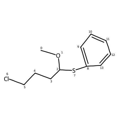 COC(CCCCl)Sc1ccccc1